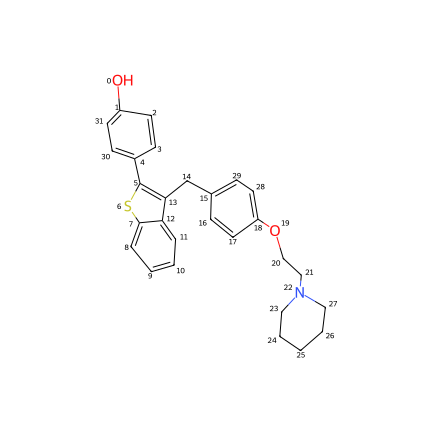 Oc1ccc(-c2sc3ccccc3c2Cc2ccc(OCCN3CCCCC3)cc2)cc1